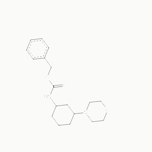 O=C(NC1CCCC(N2CCOCC2)C1)OCc1ccccc1